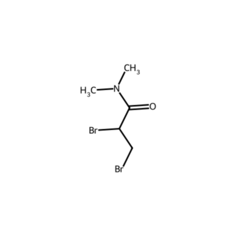 CN(C)C(=O)C(Br)CBr